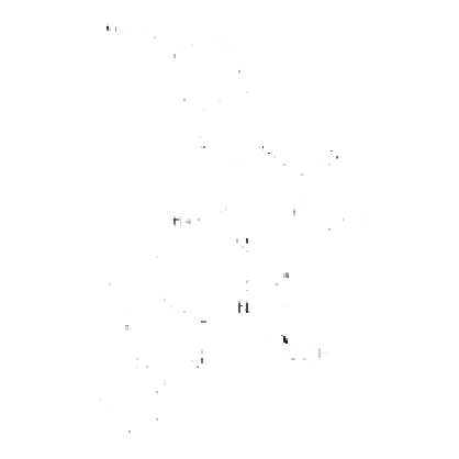 COc1ccc(CN(C(=O)OC(C)(C)C)c2cc(C[C@H]3C(=O)N(C(=O)N4CCCC[C@H]4c4ccccc4)[C@@H]3C(=O)O)ccn2)cc1